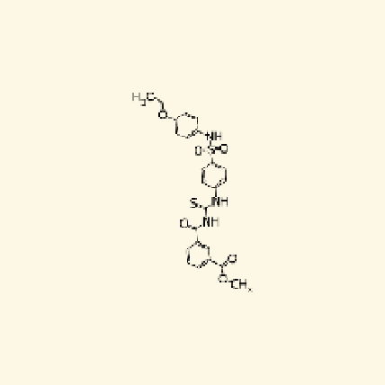 CCOc1ccc(NS(=O)(=O)c2ccc(NC(=S)NC(=O)c3cccc(C(=O)OC)c3)cc2)cc1